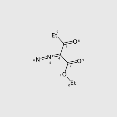 CCOC(=O)C(=[N+]=[N-])C(=O)CC